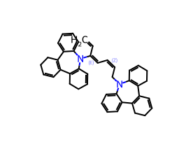 C=C/C(=C\C=C/CN1C2=C(CCC=C2)C2=C(CCC=C2)c2ccccc21)N1C2=C(CCC=C2)C2=C(CCC=C2)c2ccccc21